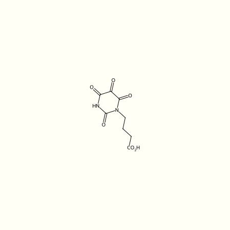 O=C(O)CCCN1C(=O)NC(=O)C(=O)C1=O